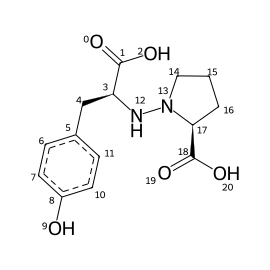 O=C(O)[C@H](Cc1ccc(O)cc1)NN1CCC[C@H]1C(=O)O